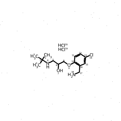 CC(C)(C)NCC(O)COc1ccc(Cl)cc1CN.Cl.Cl